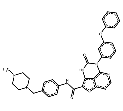 CN1CCN(Cc2ccc(NC(=O)c3sc4ncnc5c4c3NC(=O)N5c3cccc(Oc4ccccc4)c3)cc2)CC1